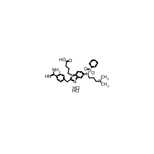 CN(C)CCCN(c1ccc2c(c1)nc(Cc1ccc(C(=N)N)cc1)n2CCCC(=O)O)S(=O)(=O)c1ccccc1.Cl.Cl